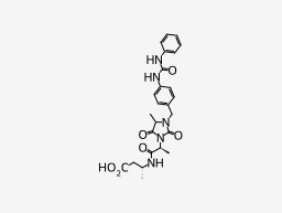 CC1C(=O)N([C@@H](C)C(=O)N[C@H](C)CC(=O)O)C(=O)N1Cc1ccc(NC(=O)Nc2ccccc2)cc1